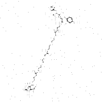 CN[C@@H](Cc1cnc[nH]1)C(=O)N[C@@H](Cc1ccc(O)cc1)C(=O)NCCNC(=O)COCCOCCNC(=O)COCCOCCNC(=O)CCCC[C@@H]1SC[C@@H]2NC(=O)N[C@@H]21